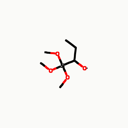 CCC([O])[Si](OC)(OC)OC